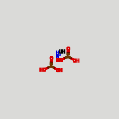 N.O=S(O)O.O=S(O)O.[LiH]